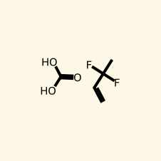 C=CC(C)(F)F.O=C(O)O